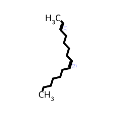 C/C=C/CCCC/C=C\CCCCCC